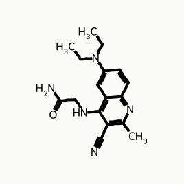 CCN(CC)c1ccc2nc(C)c(C#N)c(NCC(N)=O)c2c1